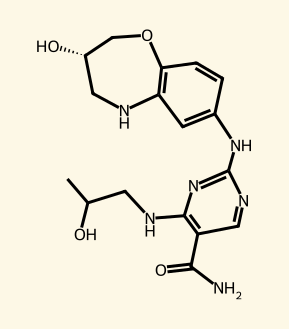 CC(O)CNc1nc(Nc2ccc3c(c2)NC[C@H](O)CO3)ncc1C(N)=O